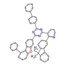 CC1(C)c2ccccc2-c2cc(-c3ncccc3-c3nc(-c4ccc(-c5ccccc5)cc4)nc(-c4ccc5c(c4)oc4cccc(-c6ccccc6)c45)n3)ccc21